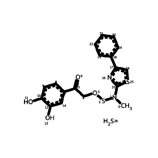 CN(SOCC(=O)c1ccc(O)c(O)c1)c1nc(-c2ccccc2)cs1.S